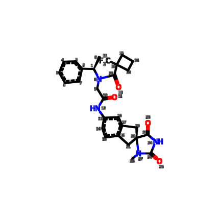 C[C@H](c1ccccc1)N(CC(=O)Nc1ccc2c(c1)C[C@@]1(C2)C(=O)NC(=O)N1C)C(=O)C1(C(F)(F)F)CCC1